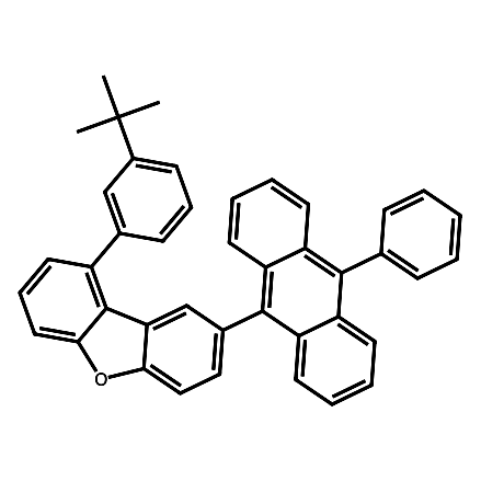 CC(C)(C)c1cccc(-c2cccc3oc4ccc(-c5c6ccccc6c(-c6ccccc6)c6ccccc56)cc4c23)c1